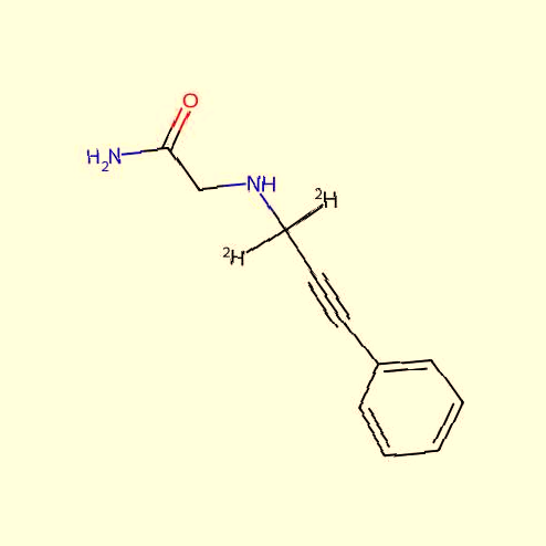 [2H]C([2H])(C#Cc1ccccc1)NCC(N)=O